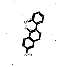 COc1ccc2c(c1)CCC(c1ccccc1C)=C2Br